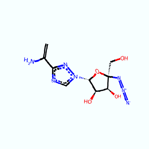 C=C(N)c1ncn([C@@H]2O[C@@](CO)(N=[N+]=[N-])[C@@H](O)[C@H]2O)n1